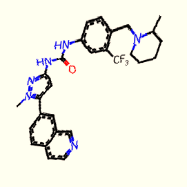 CC1CCCCN1Cc1ccc(NC(=O)Nc2cc(-c3ccc4ccncc4c3)n(C)n2)cc1C(F)(F)F